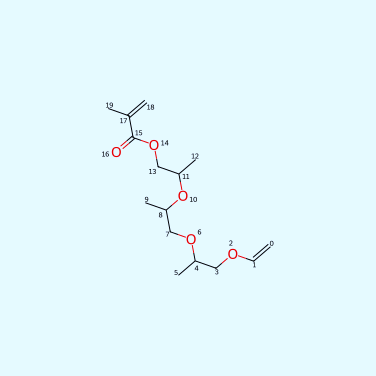 C=COCC(C)OCC(C)OC(C)COC(=O)C(=C)C